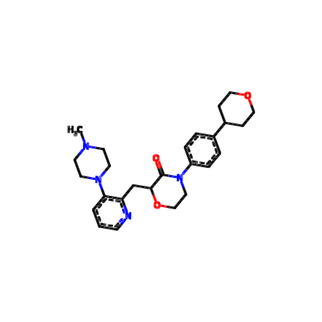 CN1CCN(c2cccnc2CC2OCCN(c3ccc(C4CCOCC4)cc3)C2=O)CC1